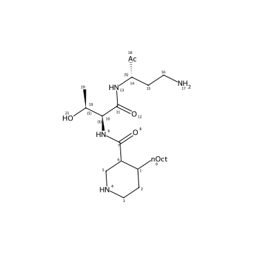 CCCCCCCCC1CCNCC1C(=O)N[C@H](C(=O)N[C@@H](CCN)C(C)=O)[C@H](C)O